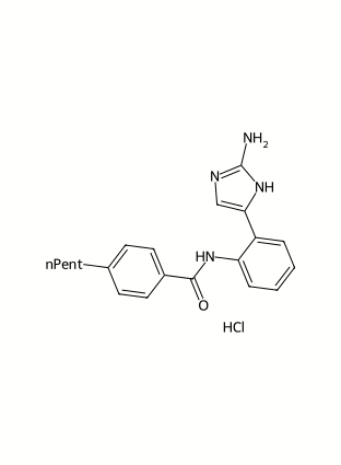 CCCCCc1ccc(C(=O)Nc2ccccc2-c2cnc(N)[nH]2)cc1.Cl